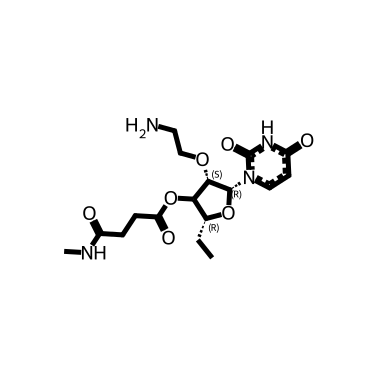 CC[C@H]1O[C@@H](n2ccc(=O)[nH]c2=O)[C@@H](OCCN)C1OC(=O)CCC(=O)NC